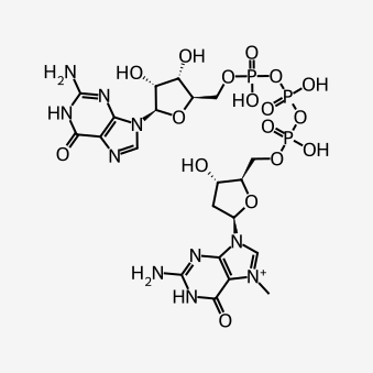 C[n+]1cn([C@H]2C[C@H](O)[C@@H](COP(=O)(O)OP(=O)(O)OP(=O)(O)OC[C@H]3O[C@@H](n4cnc5c(=O)[nH]c(N)nc54)[C@H](O)[C@@H]3O)O2)c2nc(N)[nH]c(=O)c21